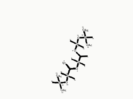 CCC(O[Si](C)(C)C(C)O[Si](C)(C)O[Si](C)(OC(C)=O)OC(C)=O)[Si](C)(C)O[Si](C)(OC(C)=O)OC(C)=O